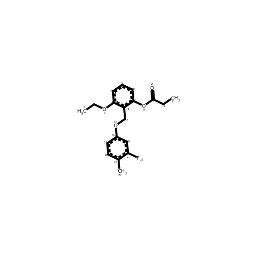 CCOc1cccc(OC(=O)CC)c1COc1ccc(C)c(F)c1